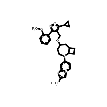 O=C(O)c1cn2ccc(N3CCC(OCc4c(-c5ccccc5OC(F)(F)F)noc4C4CC4)CC4CCC43)cc2n1